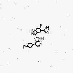 Fc1ccc(-c2ccnc3[nH]c(-c4n[nH]c5cc(F)c(-c6cncnc6)cc45)nc23)cc1